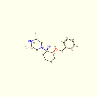 C[C@@H]1CN([C@@]2([N])CCCC[C@@H]2OCc2ccccc2)C[C@H](C)N1